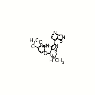 COc1c(Cl)cccc1Nc1c(-c2ccnc3cnsc23)nn2c1C(=O)N[C@@H](C)C2